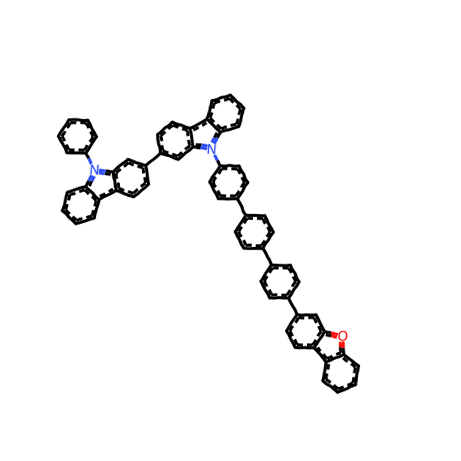 c1ccc(-n2c3ccccc3c3ccc(-c4ccc5c6ccccc6n(-c6ccc(-c7ccc(-c8ccc(-c9ccc%10c(c9)oc9ccccc9%10)cc8)cc7)cc6)c5c4)cc32)cc1